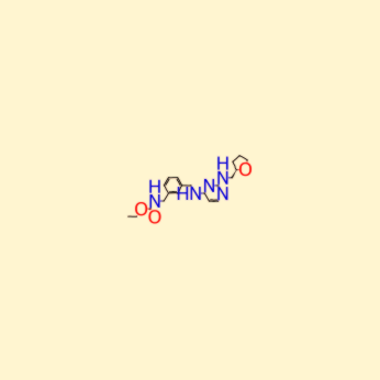 CCOC(=O)NCc1cccc(CNc2ccnc(NC[C@H]3CCCO3)n2)c1